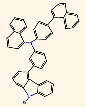 CCn1c2ccccc2c2c(-c3cccc(N(c4ccc(-c5cccc6ccccc56)cc4)c4cccc5ccccc45)c3)cccc21